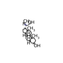 C/N=C(\CO)[C@H]1CC[C@H]2[C@@H]3CC[C@H]4C[C@H](O)CC[C@]4(C)[C@H]3CC[C@]12C